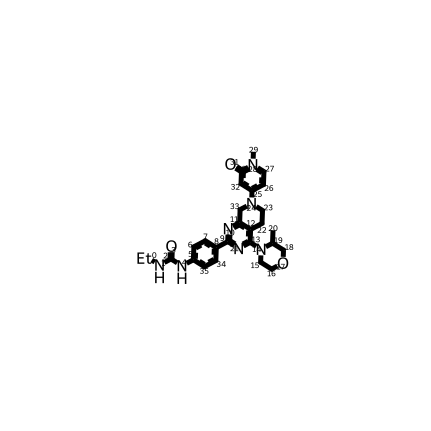 CCNC(=O)Nc1ccc(-c2nc3c(c(N4CCOCC4C)n2)CCN(c2ccn(C)c(=O)c2)C3)cc1